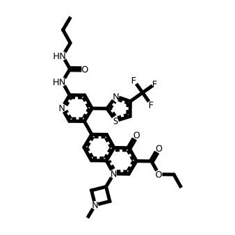 CCCNC(=O)Nc1cc(-c2nc(C(F)(F)F)cs2)c(-c2ccc3c(c2)c(=O)c(C(=O)OCC)cn3C2CN(C)C2)cn1